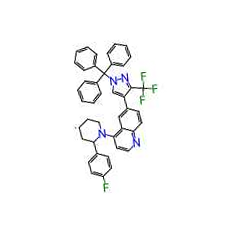 Fc1ccc(C2C[CH]CCN2c2ccnc3ccc(-c4cn(C(c5ccccc5)(c5ccccc5)c5ccccc5)nc4C(F)(F)F)cc23)cc1